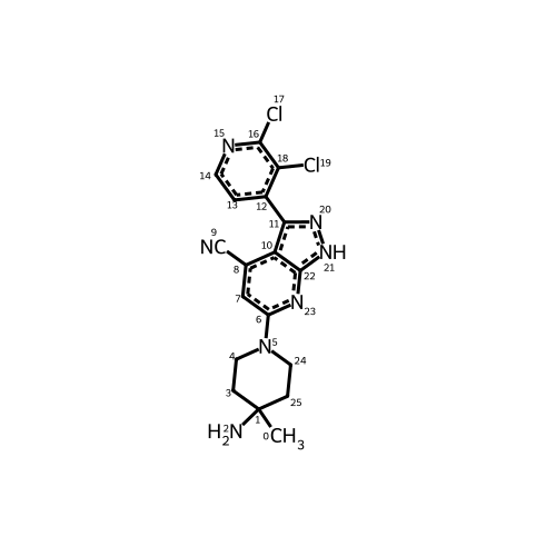 CC1(N)CCN(c2cc(C#N)c3c(-c4ccnc(Cl)c4Cl)n[nH]c3n2)CC1